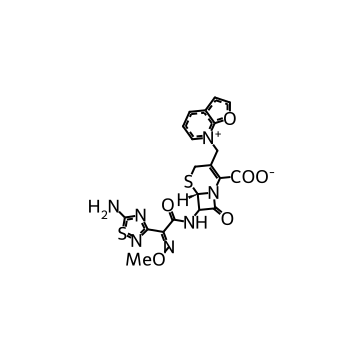 CON=C(C(=O)NC1C(=O)N2C(C(=O)[O-])=C(C[n+]3cccc4ccoc43)CS[C@@H]12)c1nsc(N)n1